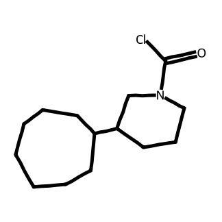 O=C(Cl)N1CCCC(C2CCCCCCC2)C1